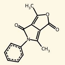 CC1=C2C(=O)N(c3ccccc3)C(C)=C2C(=O)O1